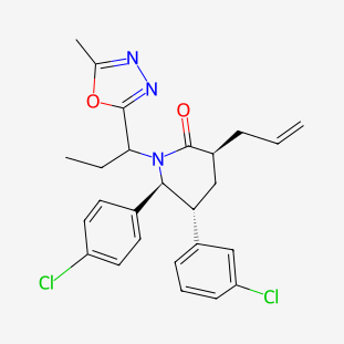 C=CC[C@H]1C[C@H](c2cccc(Cl)c2)[C@@H](c2ccc(Cl)cc2)N(C(CC)c2nnc(C)o2)C1=O